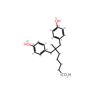 CC(CCCCC(=O)O)(Cc1ccc(O)cc1)Cc1ccc(O)cc1